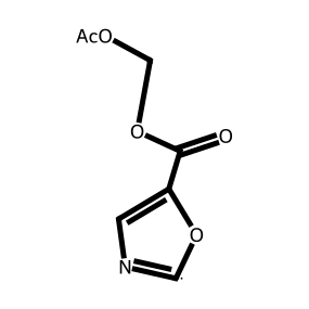 CC(=O)OCOC(=O)c1cn[c]o1